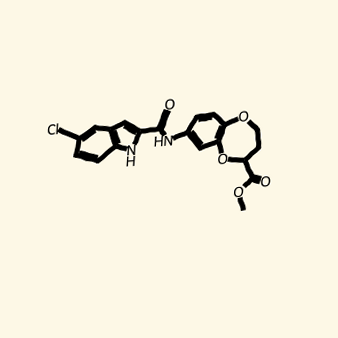 COC(=O)C1CCOc2ccc(NC(=O)c3cc4cc(Cl)ccc4[nH]3)cc2O1